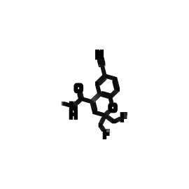 CNC(=O)C1=CC(CF)(CF)Oc2ccc(C#N)cc21